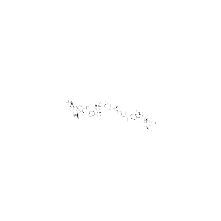 CCN(C)S(=O)(=O)Nc1ccc(F)c(Oc2ccc3ncn(C4(C)COC5(CCN(C(=O)CN6CCC(c7cc8c(cc7F)c(N7CCC(=O)NC7=O)nn8C)CC6)CC5)C4)c(=O)c3c2)c1C#N